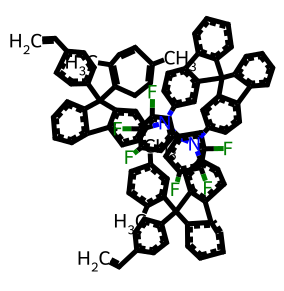 C=Cc1ccc(C2(C3=C(C)C=CC(C)=CC3)c3ccccc3-c3ccc(N(c4cc(F)c(F)c(F)c4)c4ccc5c(c4)C4(c6ccccc6-5)c5ccccc5-c5ccc(N(c6cc(F)c(F)c(F)c6)c6ccc7c(c6)C(c6ccc(C=C)cc6)(c6cc(C)ccc6C)c6ccccc6-7)cc54)cc32)cc1